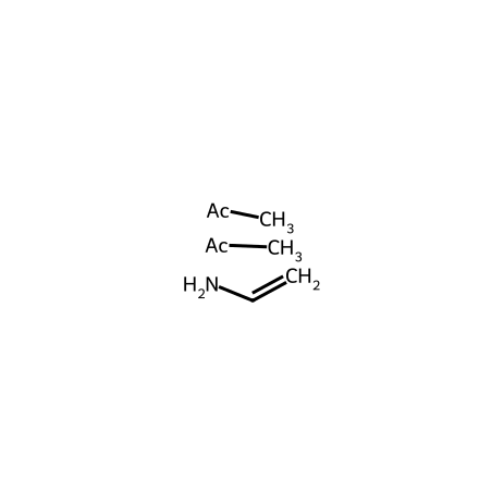 C=CN.CC(C)=O.CC(C)=O